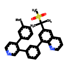 CSc1cccc(-c2ccncc2-c2cccc(-c3cc(C(C)(C)S(C)(=O)=O)cc4cccnc34)c2)c1